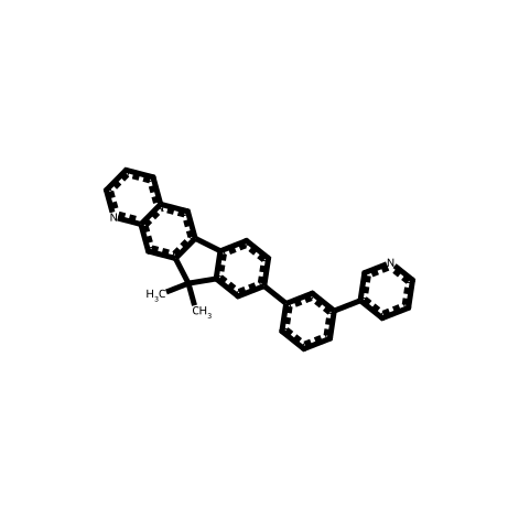 CC1(C)c2cc(-c3cccc(-c4cccnc4)c3)ccc2-c2cc3cccnc3cc21